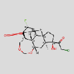 C[C@]12C[C@@H]3OCOC[C@]45CCC(=O)C=C4[C@H](F)C[C@H]([C@H]35)[C@@H]1CC[C@]2(O)C(=O)CCl